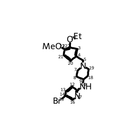 CCOc1cc(CN2CCC(Nc3ccc(Br)cn3)CC2)ccc1OC